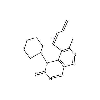 C=C/C=C\c1c(C)ncc2cnc(=O)n(C3CCCCC3)c12